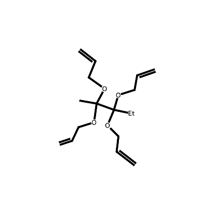 C=CCOC(C)(OCC=C)C(CC)(OCC=C)OCC=C